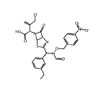 C=C(CCl)C(C(=O)O)N1C(=O)C2N=C(C(c3cccc(CC)c3)N(C=O)OCc3ccc([N+](=O)[O-])cc3)SC21